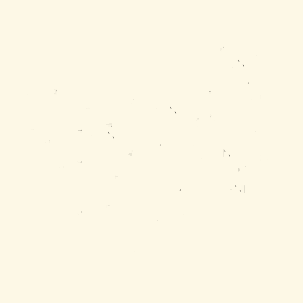 CCCCCCCN(C(N)=O)c1ccc(N(C)C)cc1C(=O)NC1CCN(C(c2ccccc2)c2ccccc2)CC1